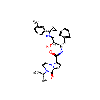 CCCC(CCC)N1CCn2c(C(=O)N[C@@H](Cc3ccccc3)[C@@H](O)CNC3(c4cccc(C(F)(F)F)c4)CC3)ccc2C1=O